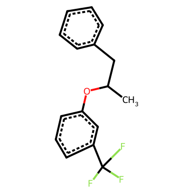 CC(Cc1ccccc1)Oc1cccc(C(F)(F)F)c1